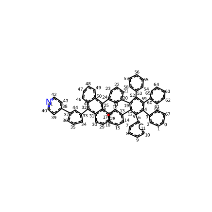 c1ccc(-c2c(-c3ccccc3)c(-c3ccccc3)c(-c3cccc(-c4c5ccccc5c(-c5cccc(-c6ccncc6)c5)c5ccccc45)c3)c(-c3ccccc3)c2-c2ccccc2)cc1